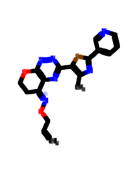 C=CCO/N=C1\CCOc2nnc(-c3sc(-c4cccnc4)nc3C)nc21